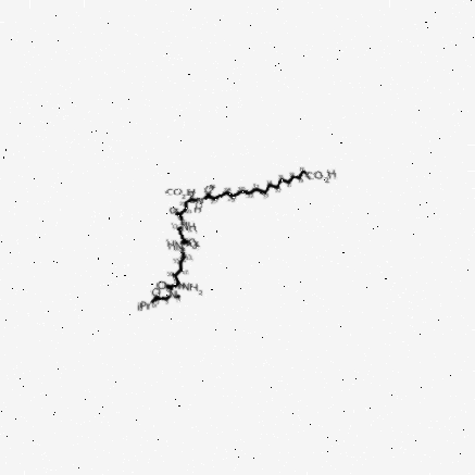 CC(C)C(=O)CN(C)C(=O)[C@@H](N)CCCCNC(=O)CNC(=O)CC[C@H](NC(=O)CCCCCCCCCCCCCCC(=O)O)C(=O)O